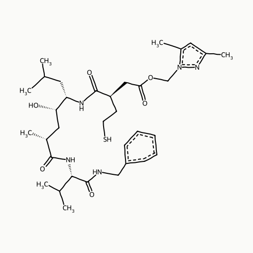 Cc1cc(C)n(COC(=O)C[C@@H](CCS)C(=O)N[C@@H](CC(C)C)[C@@H](O)C[C@@H](C)C(=O)N[C@H](C(=O)NCc2ccccc2)C(C)C)n1